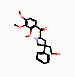 COc1ccc(C(=O)C2CC(CCO)(c3ccccc3)CN2)c(OC)c1OC